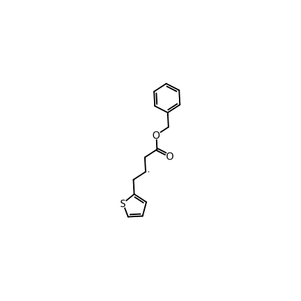 O=C(C[CH]Cc1cccs1)OCc1ccccc1